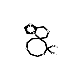 CC1(C)CC2(CCOCCO1)COCc1nccn12